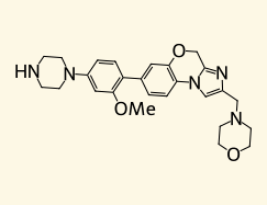 COc1cc(N2CCNCC2)ccc1-c1ccc2c(c1)OCc1nc(CN3CCOCC3)cn1-2